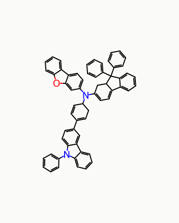 C1=CC(N(C2=CC=C3c4ccccc4C(c4ccccc4)(c4ccccc4)C3C2)c2ccc3c(c2)oc2ccccc23)CC=C1c1ccc2c(c1)c1ccccc1n2-c1ccccc1